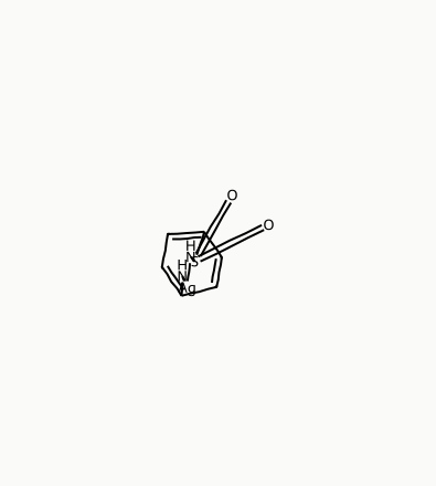 O=S1(=O)[NH][Ag][NH]c2ccc1cc2